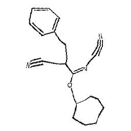 N#CN=C(OC1CCCCC1)C(C#N)Cc1ccccc1